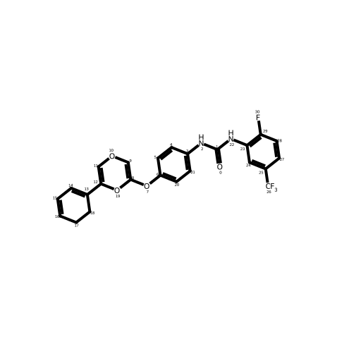 O=C(Nc1ccc(OC2=COC=C(C3=CC=CCC3)O2)cc1)Nc1cc(C(F)(F)F)ccc1F